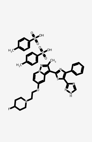 Cc1ccc(S(=O)(=O)O)cc1.Cc1ccc(S(=O)(=O)O)cc1.Cc1nn2ccc(OCCN3CCC(F)CC3)cc2c1-c1nc(-c2ccccc2)c(-c2nc[nH]n2)s1